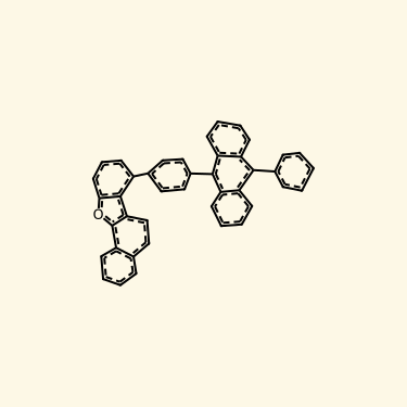 c1ccc(-c2c3ccccc3c(-c3ccc(-c4cccc5oc6c7ccccc7ccc6c45)cc3)c3ccccc23)cc1